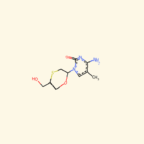 Cc1cn(C2CSC(CO)CO2)c(=O)nc1N